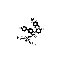 CCOP(=O)(CCn1c(=O)n(C2CCC(=O)N(Cc3ccc(OC)cc3)C2=O)c2ccc(C3CCNCC3)cc21)OCC